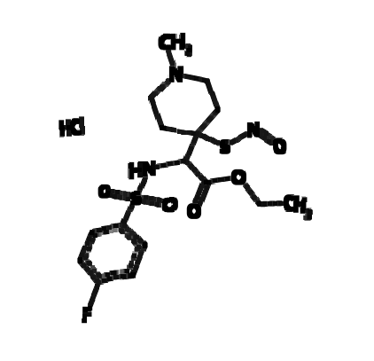 CCOC(=O)C(NS(=O)(=O)c1ccc(F)cc1)C1(SN=O)CCN(C)CC1.Cl